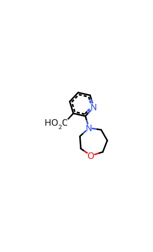 O=C(O)c1cccnc1N1CCCOCC1